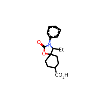 CCC1N(c2ccccc2)C(=O)OC12CCC(C(=O)O)CC2